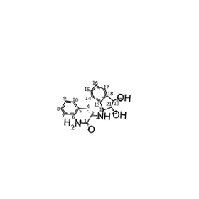 NC(=O)[C@H](Cc1ccccc1)NC1c2ccccc2C(O)C1O